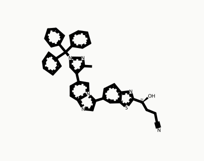 Cc1nn(C(c2ccccc2)(c2ccccc2)c2ccccc2)cc1-c1ccc2ncc(-c3ccc4nc([C@@H](O)CCC#N)sc4c3)n2c1